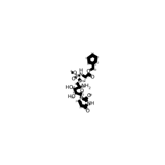 COP(=O)(N[C@@H](C)C(=O)OCc1ccccc1)OC[C@@]1(N)O[C@@H](n2ccc(=O)[nH]c2=O)[C@H](O)[C@@H]1O